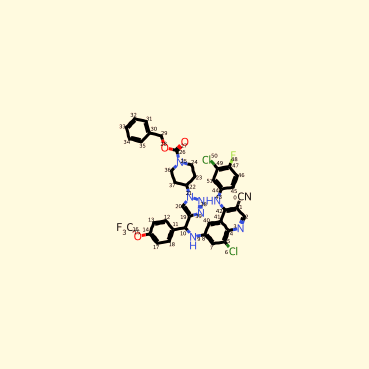 N#Cc1cnc2c(Cl)cc(NC(c3ccc(OC(F)(F)F)cc3)c3cn(C4CCN(C(=O)OCc5ccccc5)CC4)nn3)cc2c1Nc1ccc(F)c(Cl)c1